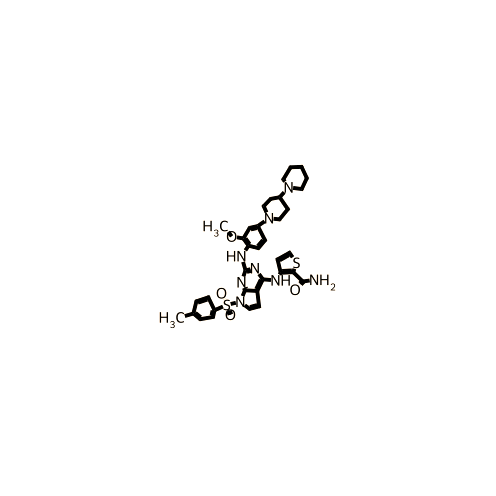 COc1cc(N2CCC(N3CCCCC3)CC2)ccc1Nc1nc(Nc2ccsc2C(N)=O)c2ccn(S(=O)(=O)c3ccc(C)cc3)c2n1